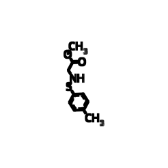 COC(=O)CNSc1ccc(C)cc1